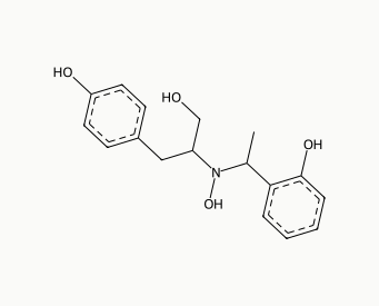 CC(c1ccccc1O)N(O)C(CO)Cc1ccc(O)cc1